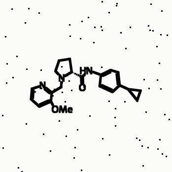 COc1cccnc1CN1CCC[C@@H]1C(=O)Nc1ccc(C2CC2)cc1